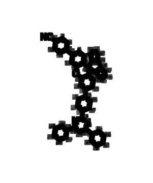 N#Cc1ccc(-c2ccc3c(c2)Oc2cc(-c4ccc(-c5nc(-c6ccccc6)cc(-c6ccccc6)n5)cc4)ccc2C32c3ccccc3-c3ccccc32)cc1